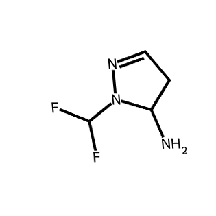 NC1CC=NN1C(F)F